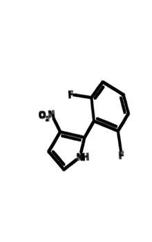 O=[N+]([O-])c1cc[nH]c1-c1c(F)cccc1F